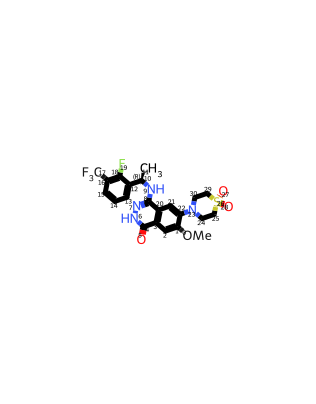 COc1cc2c(=O)[nH]nc(N[C@H](C)c3cccc(C(F)(F)F)c3F)c2cc1N1CCS(=O)(=O)CC1